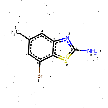 Nc1nc2cc(C(F)(F)F)cc(Br)c2s1